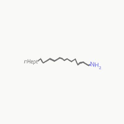 [CH2]CCCCCCCCCCCCCCCCCCN